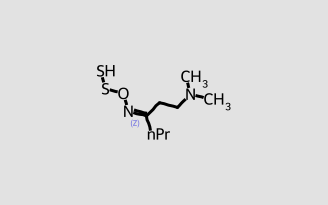 CCC/C(CCN(C)C)=N/OSS